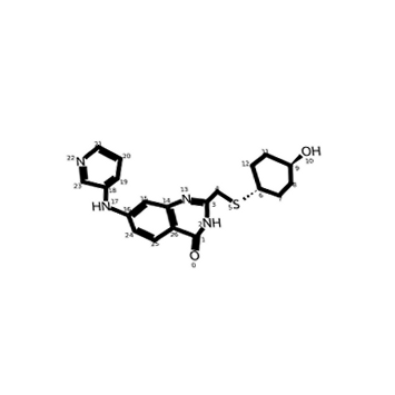 O=c1[nH]c(CS[C@H]2CC[C@H](O)CC2)nc2cc(Nc3cccnc3)ccc12